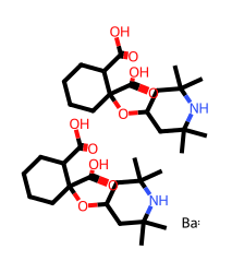 CC1(C)CC(OC2(C(=O)O)CCCCC2C(=O)O)CC(C)(C)N1.CC1(C)CC(OC2(C(=O)O)CCCCC2C(=O)O)CC(C)(C)N1.[Ba]